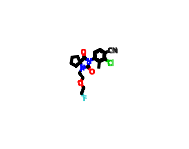 Cc1c(N2C(=O)N(CCOCCF)C3(CCCC3)C2=O)ccc(C#N)c1Cl